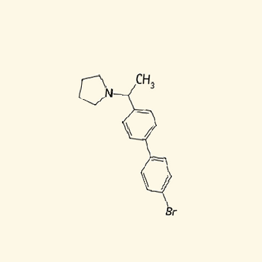 CC(c1ccc(-c2ccc(Br)cc2)cc1)N1CCCC1